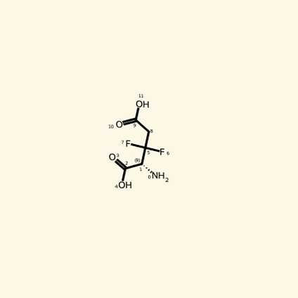 N[C@H](C(=O)O)C(F)(F)CC(=O)O